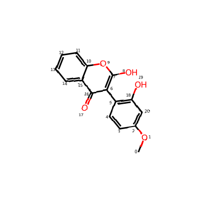 COc1ccc(-c2c(O)oc3ccccc3c2=O)c(O)c1